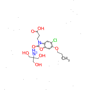 CCCOc1cc2oc(=O)n(CCC(=O)O)c2cc1Cl.NC(CO)(CO)CO